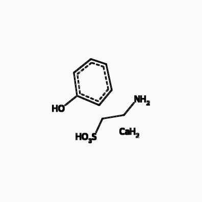 NCCS(=O)(=O)O.Oc1ccccc1.[CaH2]